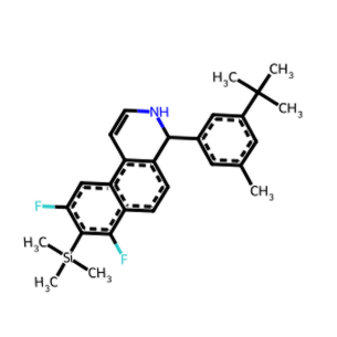 Cc1cc(C2NC=Cc3c2ccc2c(F)c([Si](C)(C)C)c(F)cc32)cc(C(C)(C)C)c1